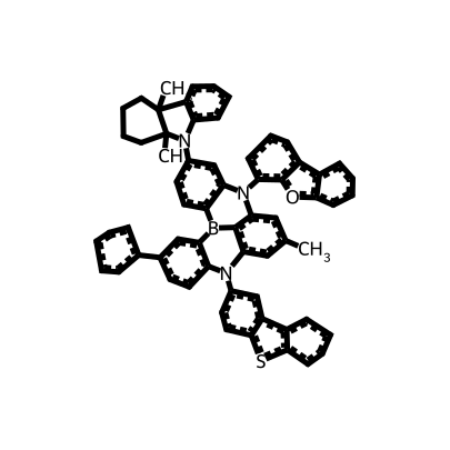 Cc1cc2c3c(c1)N(c1cccc4c1oc1ccccc14)c1cc(N4c5ccccc5C5(C)CCCCC45C)ccc1B3c1cc(-c3ccccc3)ccc1N2c1ccc2sc3ccccc3c2c1